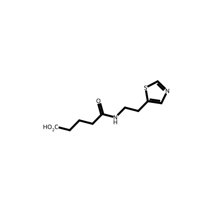 O=C(O)CCCC(=O)NCCc1cncs1